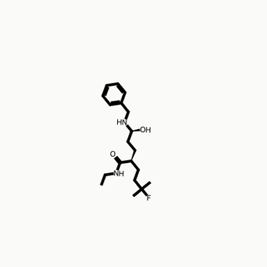 CCNC(=O)[C@@H](CC[C@H](O)NCc1ccccc1)CCC(C)(C)F